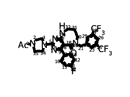 CC(=O)N1CCN(c2nc3c(c(-c4ccc(F)cc4)n2)C(=O)N(Cc2cc(C(F)(F)F)cc(C(F)(F)F)c2)CCCN3)CC1